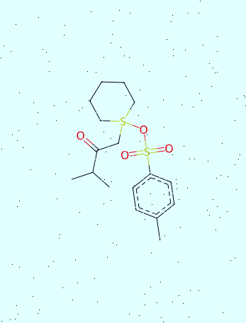 Cc1ccc(S(=O)(=O)OS2(CC(=O)C(C)C)CCCCC2)cc1